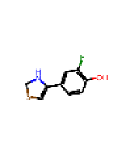 Oc1ccc(C2=CSCN2)cc1F